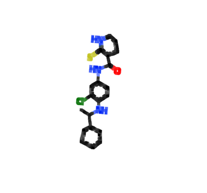 CC(Nc1ccc(NC(=O)c2ccc[nH]c2=S)cc1Cl)c1ccccc1